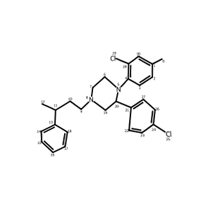 Cc1ccc(N2CCN(CCC(C)c3ccccc3)CC2c2ccc(Cl)cc2)c(Cl)c1